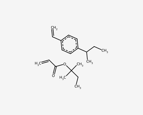 C=CC(=O)OC(C)(C)CC.C=Cc1ccc(C(C)CC)cc1